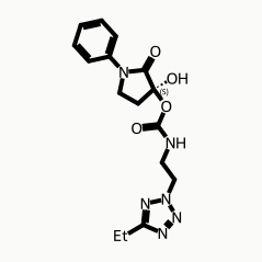 CCc1nnn(CCNC(=O)O[C@@]2(O)CCN(c3ccccc3)C2=O)n1